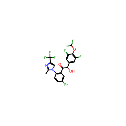 Cc1nc(C(F)(F)F)cn1-c1ccc(Br)cc1C(=O)C(O)c1cc(F)c(OC(F)F)c(F)c1